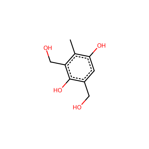 Cc1c(O)cc(CO)c(O)c1CO